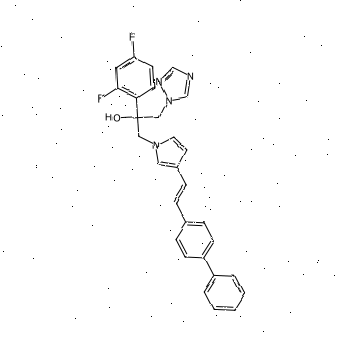 OC(Cn1ccc(C=Cc2ccc(-c3ccccc3)cc2)c1)(Cn1cncn1)c1ccc(F)cc1F